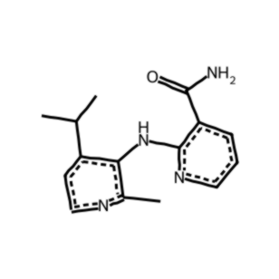 Cc1nccc(C(C)C)c1Nc1ncccc1C(N)=O